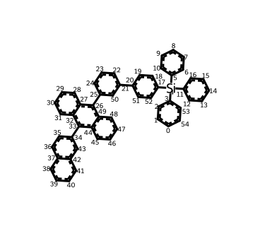 c1ccc([Si](c2ccccc2)(c2ccccc2)c2ccc(-c3cccc(-c4c5ccccc5c(-c5ccc6ccccc6c5)c5ccccc45)c3)cc2)cc1